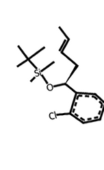 C/C=C/C[C@H](O[Si](C)(C)C(C)(C)C)c1ccccc1Cl